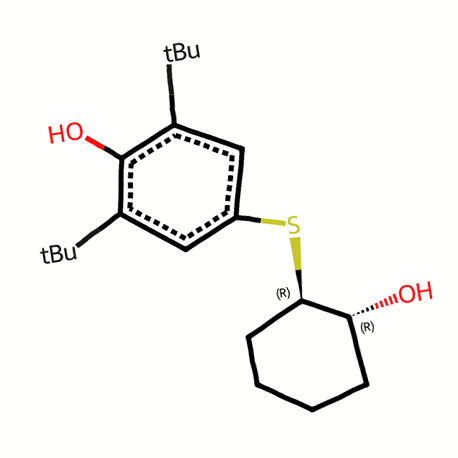 CC(C)(C)c1cc(S[C@@H]2CCCC[C@H]2O)cc(C(C)(C)C)c1O